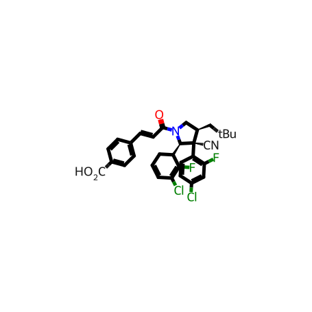 CC(C)(C)C[C@@H]1CN(C(=O)/C=C/c2ccc(C(=O)O)cc2)[C@H](C2CC=CC(Cl)=C2F)[C@@]1(C#N)c1ccc(Cl)cc1F